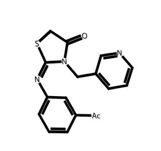 CC(=O)c1cccc(N=C2SCC(=O)N2Cc2cccnc2)c1